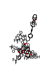 COC(=O)N[C@H](C(=O)N[C@@H](Cc1ccc(C#Cc2cnc(N3CC4CCC(C3)N4C3COC3)nc2)cc1)[C@H](CN(Cc1c(F)cc(-c2ccn(C(F)F)n2)cc1F)NC(=O)[C@@H](NC(=O)OC)C(C)(C)C(F)(F)F)OC(=O)CC(C)(C)c1c(CC(=O)N2C[C@@H](C(=O)OC(C)(C)C)C[C@H]2C(=O)OC(C)(C)C)cc(C)cc1OP(=O)(O)O)C(C)(C)C(F)(F)F